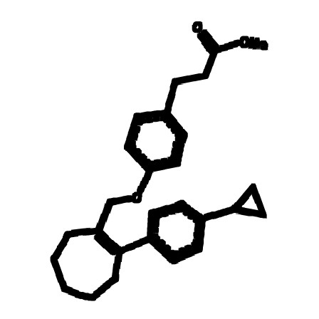 COC(=O)CCc1ccc(OCC2=C(c3ccc(C4CC4)cc3)CCCCC2)cc1